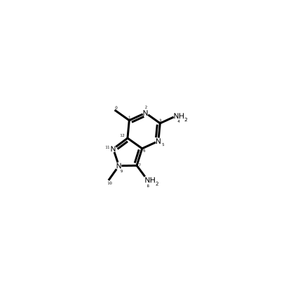 Cc1nc(N)nc2c(N)n(C)nc12